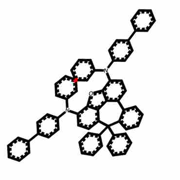 c1ccc(-c2ccc(N(c3ccccc3)c3ccc4c5c3oc3c(N(c6ccccc6)c6ccc(-c7ccccc7)cc6)ccc(c35)C(c3ccccc3)(c3ccccc3)c3ccccc3-4)cc2)cc1